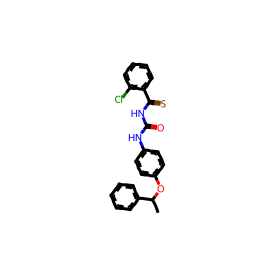 CC(Oc1ccc(NC(=O)NC(=S)c2ccccc2Cl)cc1)c1ccccc1